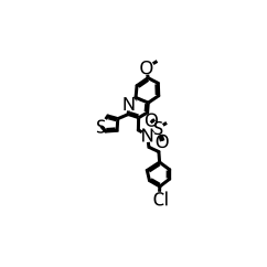 COc1ccc2cc(CN(CCc3ccc(Cl)cc3)S(C)(=O)=O)c(-c3ccsc3)nc2c1